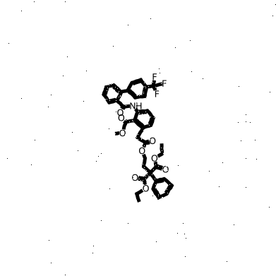 CCOC(=O)C(CCOC(=O)Cc1cccc(NC(=O)c2ccccc2-c2ccc(C(F)(F)F)cc2)c1C(=O)OC)(C(=O)OCC)c1ccccc1